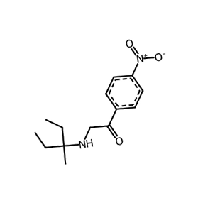 CCC(C)(CC)NCC(=O)c1ccc([N+](=O)[O-])cc1